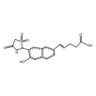 O=C(O)CCC=Cc1ccc2cc(O)c(N3NC(=O)CS3(=O)=O)cc2c1